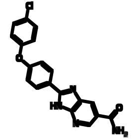 NC(=O)c1cnc2[nH]c(-c3ccc(Oc4ccc(Cl)cc4)cc3)nc2c1